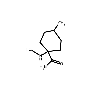 CC1CCC(NO)(C(N)=O)CC1